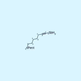 CCCCCCCCCCC#[C][SbH2]